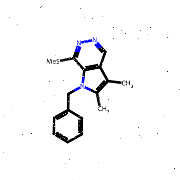 CSc1nncc2c(C)c(C)n(Cc3ccccc3)c12